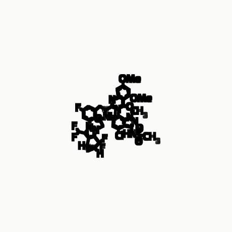 COc1cc(OC)c2c(=O)n(-c3ccc(Cl)c4c(NS(C)(=O)=O)nn(C)c34)c([C@H](Cc3cc(F)cc(F)c3)NC(=O)Cn3nc(C(F)F)c4c3C(F)(F)[C@@H]3C[C@H]43)nc2c1